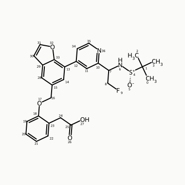 CC(C)(C)[S@+]([O-])NC(CF)c1cc(-c2cc(COc3ccccc3CC(=O)O)cc3ccoc23)ccn1